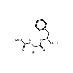 COC(=O)N[C@H](C(=O)N[C@@H](Cc1ccccc1)C(=O)O)C(C)C